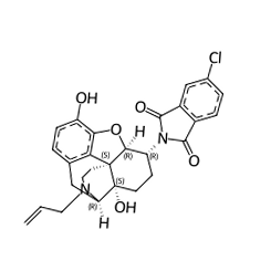 C=CCN1CC[C@]23c4c5ccc(O)c4O[C@H]2[C@H](N2C(=O)c4ccc(Cl)cc4C2=O)CC[C@@]3(O)[C@H]1C5